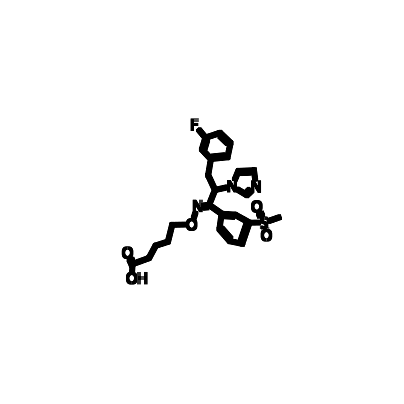 CS(=O)(=O)c1cccc(/C(=N\OCCCCC(=O)O)C(Cc2cccc(F)c2)n2ccnc2)c1